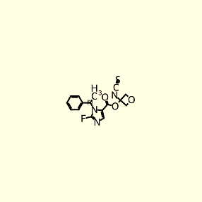 C[C@H](c1ccccc1)n1c(C(=O)OC2(N=C=S)COC2)cnc1F